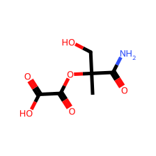 CC(CO)(OC(=O)C(=O)O)C(N)=O